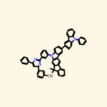 CC1(C)c2ccccc2-c2cc3c4cc(-c5ccc6c(c5)c5ccccc5n6-c5ccccc5)ccc4n(-c4cccc(-c5nc(-c6ccccc6)cc(-c6cccc(C#N)c6)n5)c4)c3cc21